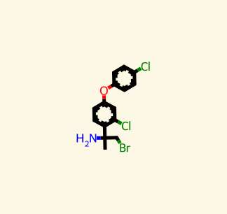 CC(N)(CBr)c1ccc(Oc2ccc(Cl)cc2)cc1Cl